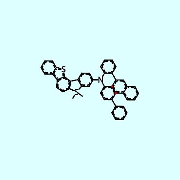 CS1(C)c2cc(N(c3ccc(-c4ccccc4)cc3)c3ccccc3-c3ccc4ccccc4c3)ccc2-c2c1ccc1c2sc2ccccc21